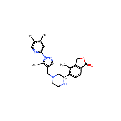 COc1c(CN2CCN[C@H](c3ccc4c(c3C)COC4=O)C2)cnn1-c1cc(C)c(C#N)cn1